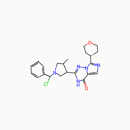 CC1CN(C(Cl)c2ccccc2)CC1c1nn2c(C3CCOCC3)ncc2c(=O)[nH]1